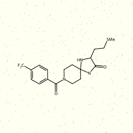 CSCCC1NC2(CCN(C(=O)c3ccc(C(F)(F)F)cc3)CC2)[N]C1=O